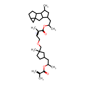 C=C(C)C(=O)OC(C)CC1CCC(C)(COC/C=C(/C)C(=O)OC(C)CC2CC(C)C3C2CC24CC2CCC34)C1